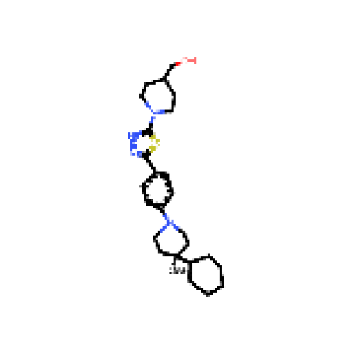 COC1(C2CCCCC2)CCN(c2ccc(-c3nnc(N4CCC(CO)CC4)s3)cc2)CC1